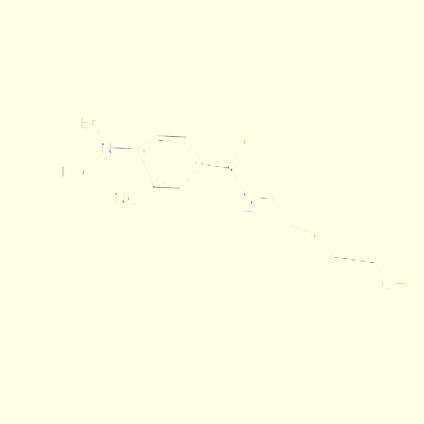 CCN(C)c1ccc(C(=O)NCCOCCO)cc1C#N